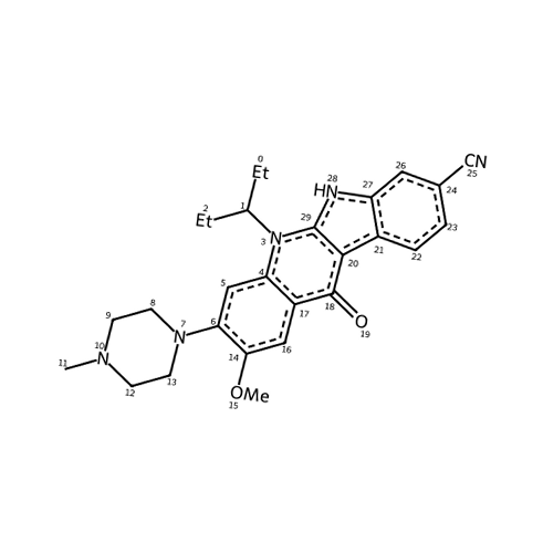 CCC(CC)n1c2cc(N3CCN(C)CC3)c(OC)cc2c(=O)c2c3ccc(C#N)cc3[nH]c21